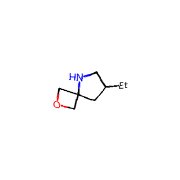 CCC1CNC2(COC2)C1